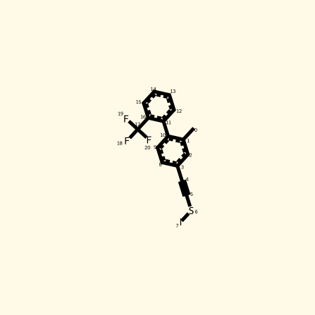 Cc1cc(C#CSI)ccc1-c1ccccc1C(F)(F)F